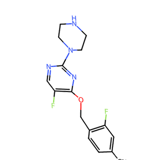 N#Cc1ccc(COc2nc(N3CCNCC3)ncc2F)c(F)c1